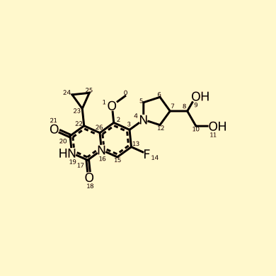 COc1c(N2CCC(C(O)CO)C2)c(F)cn2c(=O)[nH]c(=O)c(C3CC3)c12